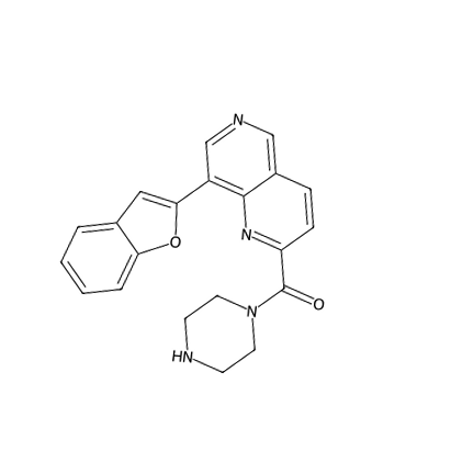 O=C(c1ccc2cncc(-c3cc4ccccc4o3)c2n1)N1CCNCC1